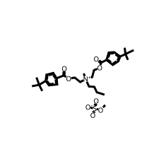 CCCC[N+](C)(CCOC(=O)c1ccc(C(C)(C)C)cc1)CCOC(=O)c1ccc(C(C)(C)C)cc1.COS(=O)(=O)[O-]